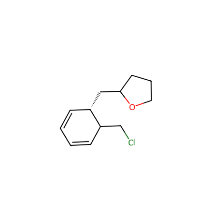 ClCC1C=CC=C[C@@H]1CC1CCCO1